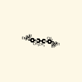 CCOP(=O)(Cc1ccc(-[n+]2ccc(-c3cc[n+](-c4ccc(CP(=O)(OCC)OCC)cc4C)cc3C)cc2)c(C)c1)OCC